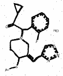 CC(=O)SC1CCN(C(C(=O)C2CC2)c2ccccc2F)C/C1=C\c1csnn1.Cl